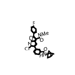 CNC(=O)c1c(-c2ccc(F)cc2)oc2nc(Cl)c(-c3cccc(C(=O)NC45CC6CC64C5)c3)cc12